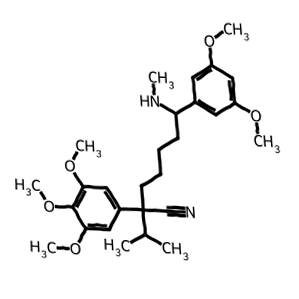 CNC(CCCCC(C#N)(c1cc(OC)c(OC)c(OC)c1)C(C)C)c1cc(OC)cc(OC)c1